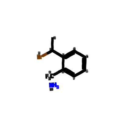 CC(Br)c1ccccc1C(F)(F)F.N